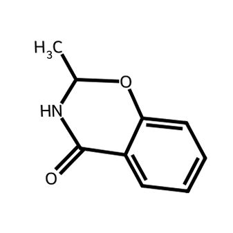 CC1NC(=O)c2ccccc2O1